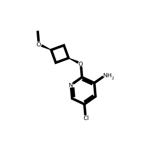 CO[C@H]1C[C@@H](Oc2ncc(Cl)cc2N)C1